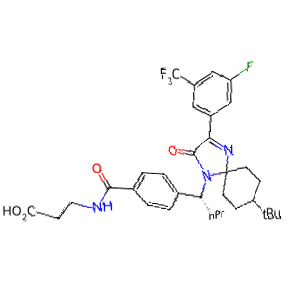 CCC[C@H](c1ccc(C(=O)NCCC(=O)O)cc1)N1C(=O)C(c2cc(F)cc(C(F)(F)F)c2)=NC12CCC(C(C)(C)C)CC2